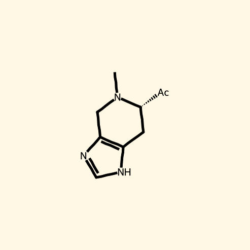 CC(=O)[C@@H]1Cc2[nH]cnc2CN1C